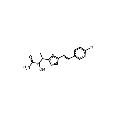 CC(c1ccc(C=Cc2ccc(Cl)cc2)s1)N(O)C(N)=O